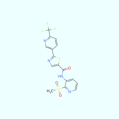 CS(=O)(=O)c1ncccc1NC(=O)c1cnc(-c2ccc(C(F)(F)F)nc2)s1